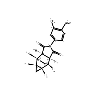 COc1ccc(N2C(=O)[C@@H]3[C@@H]4CC[C@@H]([C@@H]5C[C@@H]54)[C@@H]3C2=O)cc1C(F)(F)F